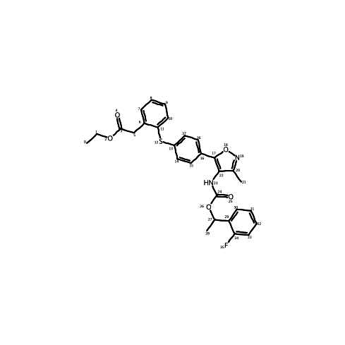 CCOC(=O)Cc1ccccc1Sc1ccc(-c2onc(C)c2NC(=O)OC(C)c2ccccc2F)cc1